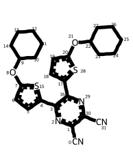 N#Cc1nc(-c2ccc(OC3CCCCC3)s2)c(-c2ccc(OC3CCCCC3)s2)nc1C#N